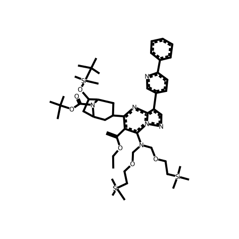 C=C(OCC)c1c(C2CC3CC(O[Si](C)(C)C(C)(C)C)C(C2)N3C(=O)OC(C)(C)C)nc2c(-c3ccc(-c4ccccc4)nc3)cnn2c1N(COCC[Si](C)(C)C)COCC[Si](C)(C)C